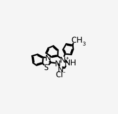 Cc1ccc([N+]2(c3ccccc3)NC=NN2c2nc3ccccc3s2)cc1.[Cl-]